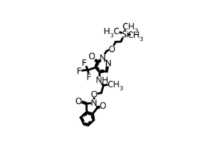 CC(CON1C(=O)c2ccccc2C1=O)Nc1cnn(COCC[Si](C)(C)C)c(=O)c1C(F)(F)F